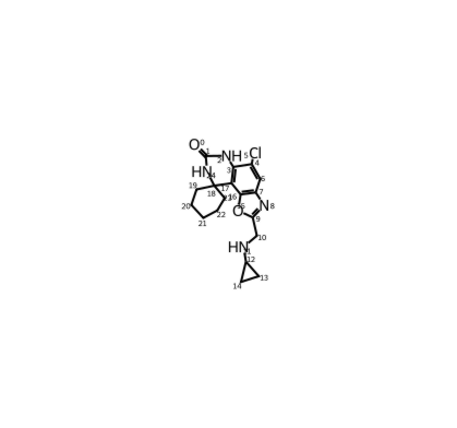 O=C1Nc2c(Cl)cc3nc(CNC4CC4)oc3c2C2(CCCCC2)N1